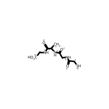 CC(NC(=O)CNC(=O)CS)C(=O)NCC(=O)O